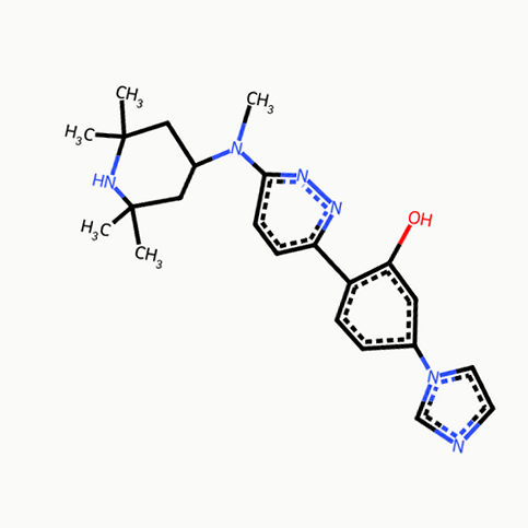 CN(c1ccc(-c2ccc(-n3ccnc3)cc2O)nn1)C1CC(C)(C)NC(C)(C)C1